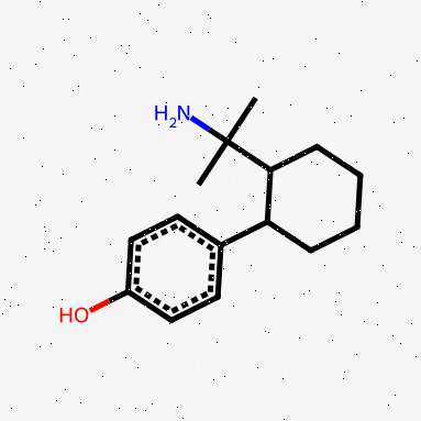 CC(C)(N)C1CCCCC1c1ccc(O)cc1